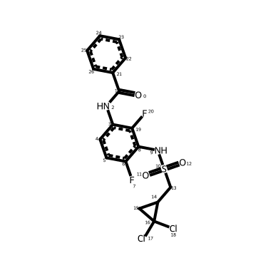 O=C(Nc1ccc(F)c(NS(=O)(=O)CC2CC2(Cl)Cl)c1F)c1ccccc1